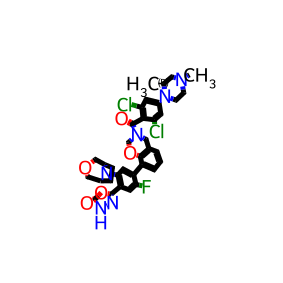 C[C@@H]1CN(C)CCN1c1cc(Cl)c(C(=O)N2COc3c(cccc3-c3cc(N4C5CCC4COC5)c(-c4n[nH]c(=O)o4)cc3F)C2)c(Cl)c1